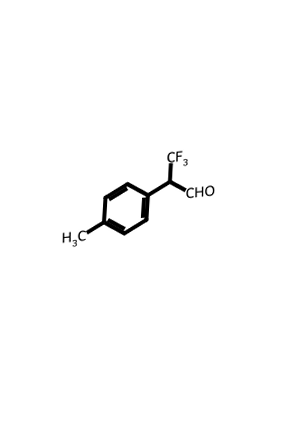 Cc1ccc(C(C=O)C(F)(F)F)cc1